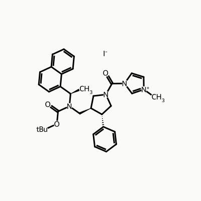 C[C@H](c1cccc2ccccc12)N(C[C@H]1CN(C(=O)n2cc[n+](C)c2)C[C@@H]1c1ccccc1)C(=O)OC(C)(C)C.[I-]